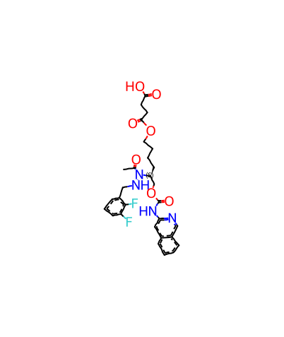 CC(=O)N(NCc1cccc(F)c1F)[C@@H](CCCCOC(=O)CCC(=O)O)COC(=O)Nc1cc2ccccc2cn1